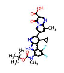 Cc1cc(-c2cnc3[nH]c4c(N(C)C(=O)OC(C)(C)C)cc(F)c(F)c4c3c2C2CC2)cn2c(=O)c(C(=O)O)cnc12